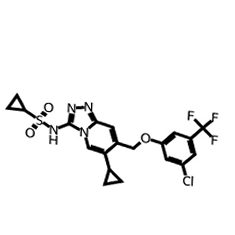 O=S(=O)(Nc1nnc2cc(COc3cc(Cl)cc(C(F)(F)F)c3)c(C3CC3)cn12)C1CC1